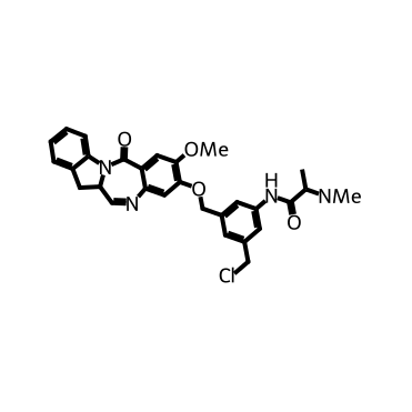 CNC(C)C(=O)Nc1cc(CCl)cc(COc2cc3c(cc2OC)C(=O)N2c4ccccc4CC2C=N3)c1